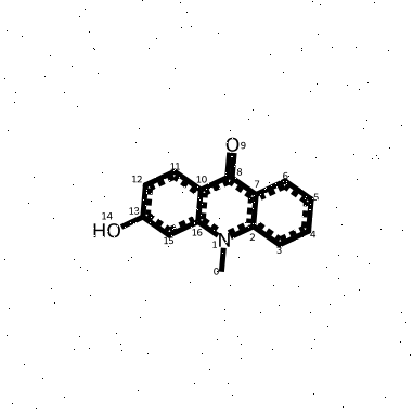 Cn1c2ccccc2c(=O)c2ccc(O)cc21